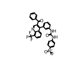 O=C(Nc1ccc([N+](=O)[O-])cc1)Nc1cccc(-c2c(C(=O)c3ccccc3)cnc3c(C(F)(F)F)cccc23)c1